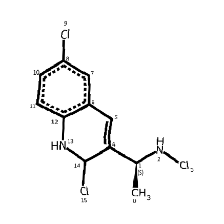 C[C@H](NCl)C1=Cc2cc(Cl)ccc2NC1Cl